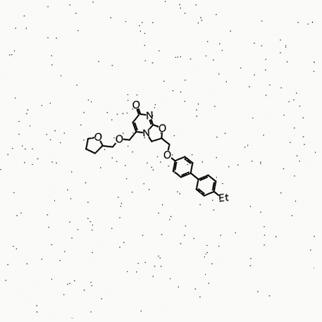 CCc1ccc(-c2ccc(OCC3Cn4c(COCC5CCCO5)cc(=O)nc4O3)cc2)cc1